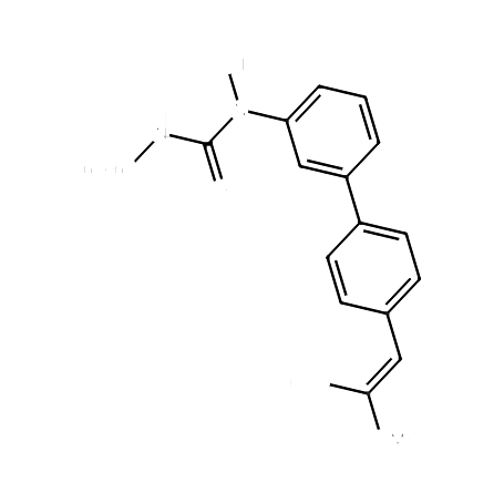 CCCCCNC(=O)N(C)c1cccc(-c2ccc(C=C(OC)C(=O)O)cc2)c1